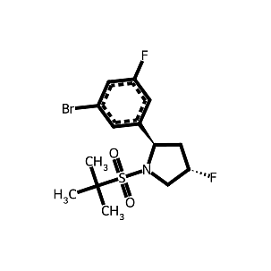 CC(C)(C)S(=O)(=O)N1C[C@@H](F)C[C@@H]1c1cc(F)cc(Br)c1